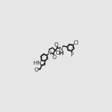 O=Cc1cc2cc(N3CC[C@](O)(C(=O)NCc4cc(F)cc(Cl)c4)C3=O)ccc2[nH]1